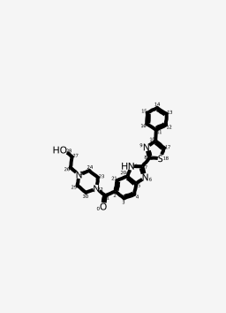 O=C(c1ccc2nc(-c3nc(-c4ccccc4)cs3)[nH]c2c1)N1CCN(CCO)CC1